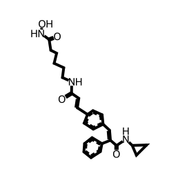 O=C(/C=C/c1ccc(/C=C(/C(=O)NC2CC2)c2ccccc2)cc1)NCCCCCC(=O)NO